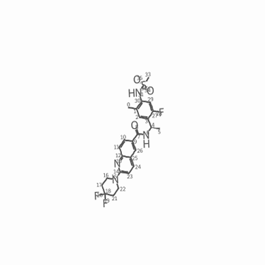 Cc1cc([C@@H](C)NC(=O)c2ccc3nc(N4CCC(F)(F)CC4)ccc3c2)c(F)cc1NS(C)(=O)=O